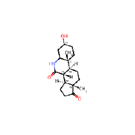 C[C@]12CC[C@H](O)CC1NC(=O)[C@@H]1[C@@H]2CC[C@]2(C)C(=O)CC[C@@H]12